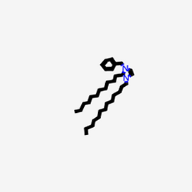 CCCCCCCCCCCCCN1C=CN(Cc2ccccc2)C1CCCCCCCCCCC